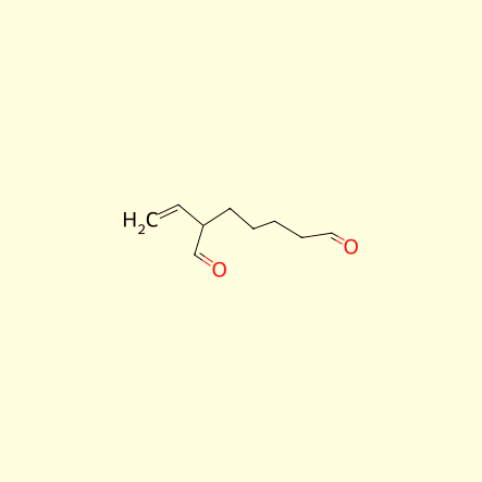 C=CC(C=O)CCCCC=O